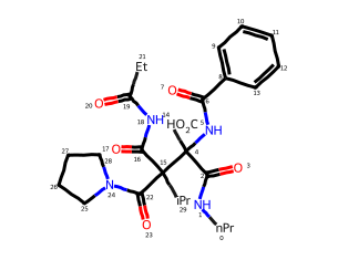 CCCNC(=O)C(NC(=O)c1ccccc1)(C(=O)O)C(C(=O)NC(=O)CC)(C(=O)N1CCCC1)C(C)C